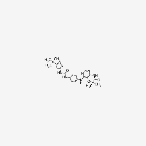 CC1(C)Oc2c(ncnc2Nc2ccc(NC(=O)Nc3cc(C(C)(C)C)on3)cc2)NC1=O